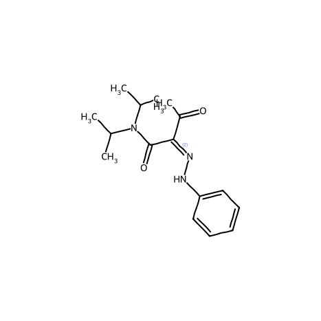 CC(=O)/C(=N/Nc1ccccc1)C(=O)N(C(C)C)C(C)C